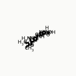 CCCN(CCC)C(=O)C1=Cc2ccc(C(=O)Nc3cnc4c(c3)CC(NC(=O)O)C4)cc2N=C(N)C1